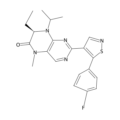 CC[C@@H]1C(=O)N(C)c2cnc(-c3cnsc3-c3ccc(F)cc3)nc2N1C(C)C